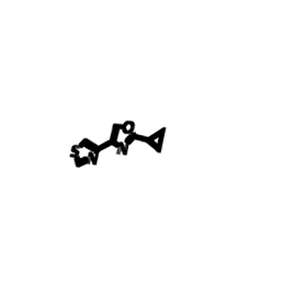 c1nc(-c2coc(C3CC3)n2)cs1